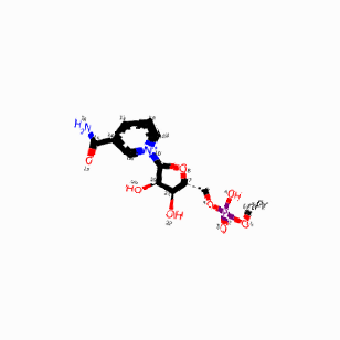 CCCOP(=O)(O)OC[C@H]1OC([n+]2cccc(C(N)=O)c2)[C@H](O)[C@@H]1O